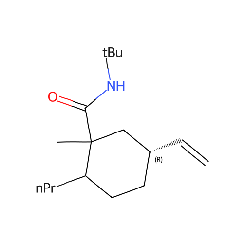 C=C[C@@H]1CCC(CCC)C(C)(C(=O)NC(C)(C)C)C1